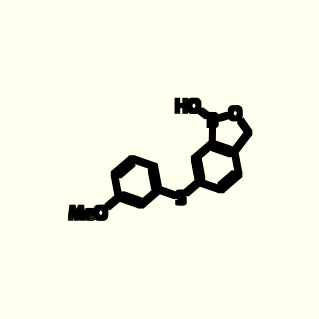 COc1cccc(Sc2ccc3c(c2)B(O)OC3)c1